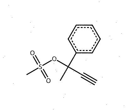 C#CC(C)(OS(C)(=O)=O)c1ccccc1